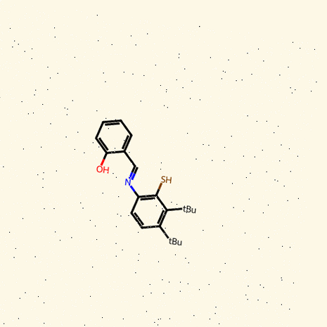 CC(C)(C)c1ccc(N=Cc2ccccc2O)c(S)c1C(C)(C)C